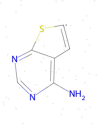 Nc1ncnc2s[c]cc12